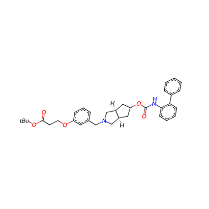 CC(C)(C)OC(=O)CCOc1cccc(CN2C[C@H]3CC(OC(=O)Nc4ccccc4-c4ccccc4)C[C@H]3C2)c1